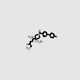 C=C/C(F)=C\C=C(/N)C1(C(=O)OCC)CCN(C(=O)c2ccc(-c3ccc(F)cc3)cc2)CC1